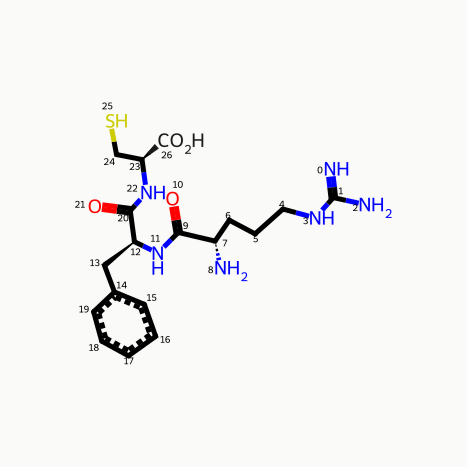 N=C(N)NCCC[C@H](N)C(=O)N[C@@H](Cc1ccccc1)C(=O)N[C@@H](CS)C(=O)O